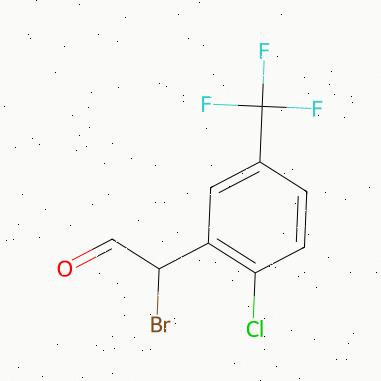 O=CC(Br)c1cc(C(F)(F)F)ccc1Cl